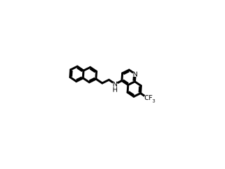 FC(F)(F)c1ccc2c(NCCc3ccc4ccccc4c3)ccnc2c1